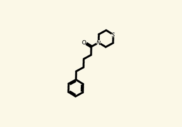 O=C(CCCCc1ccccc1)N1CCSCC1